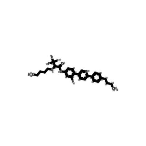 CCCCCOC(C(=O)Oc1ccc(-c2ccc(-c3ccc(CCCC)cc3)nc2)c(F)c1)C(F)(F)F